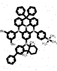 CC(C)(C)c1cc(N2c3cc(N4c5ccc(-c6ccccc6)cc5C5(C)CCCCC45C)cc4c3B3c5c(cccc5C(c5ccccc5)(c5ccccc5)c5cccc2c53)N4c2ccc([Si](C)(C)C)cc2)cc(C(C)(C)C)c1